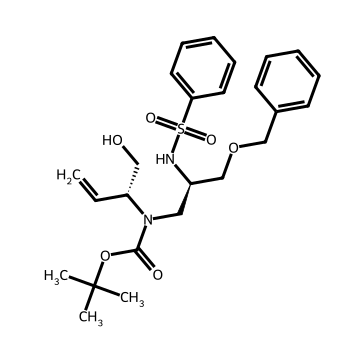 C=C[C@H](CO)N(C[C@H](COCc1ccccc1)NS(=O)(=O)c1ccccc1)C(=O)OC(C)(C)C